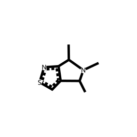 CC1c2csnc2C(C)N1C